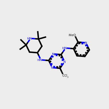 COc1ncccc1Nc1nc(NC2CC(C)(C)NC(C)(C)C2)nc(C(Cl)(Cl)Cl)n1